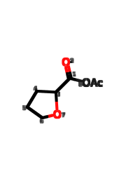 CC(=O)OC(=O)C1CCCO1